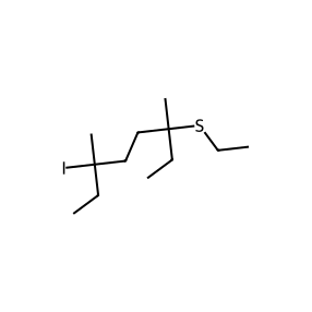 CCSC(C)(CC)CCC(C)(I)CC